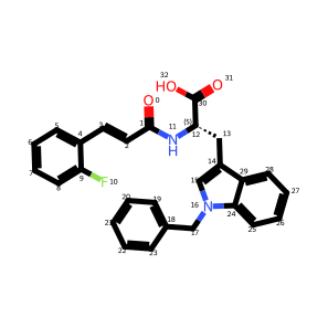 O=C(C=Cc1ccccc1F)N[C@@H](Cc1cn(Cc2ccccc2)c2ccccc12)C(=O)O